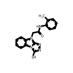 Cc1ccccc1NC(=O)Cn1c2ccccc2n2c(S)nnc12